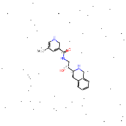 COC1=CNCC(C(=O)NC[C@@H](O)[C@@H]2Cc3ccccc3CN2)=C1